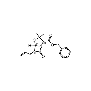 C=CC[C@@H]1C(=O)N2[C@@H]1SC(C)(C)[C@@H]2C(=O)OCc1ccccc1